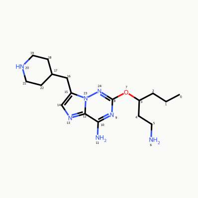 CCCC(CCN)Oc1nc(N)c2ncc(CC3CCNCC3)n2n1